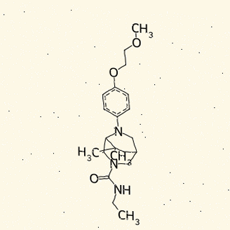 CCNC(=O)N1CC2CN(c3ccc(OCCOC)cc3)C(C1)C(C)(C)C2